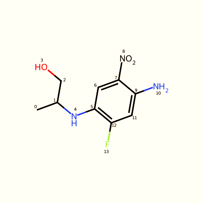 CC(CO)Nc1cc([N+](=O)[O-])c(N)cc1F